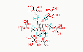 OCC(O)C(OCC(F)(F)C(F)(F)CCCc1c(COCC(F)(F)C(F)(F)COC(C(O)CO)C(O)CO)c(COCC(F)(F)C(F)(F)COC(C(O)CO)C(O)CO)c(COCC(F)(F)C(F)(F)COC(C(O)CO)C(O)CO)c(COCC(F)(F)C(F)(F)COC(C(O)CO)C(O)CO)c1COCC(F)(F)C(F)(F)COC(C(O)CO)C(O)CO)C(O)CO